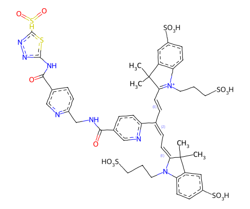 CC1(C)C(/C=C/C(=C/C=C2/N(CCCS(=O)(=O)O)c3ccc(S(=O)(=O)O)cc3C2(C)C)c2ccc(C(=O)NCc3ccc(C(=O)Nc4nnc([SH](=O)=O)s4)cn3)cn2)=[N+](CCCS(=O)(=O)O)c2ccc(S(=O)(=O)O)cc21